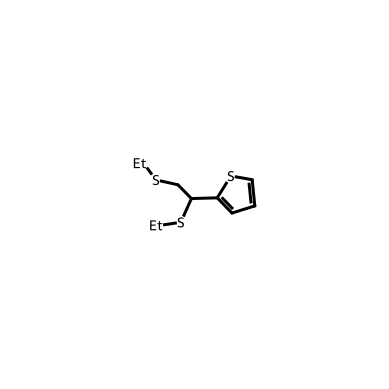 CCSCC(SCC)c1cccs1